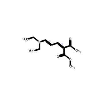 CCN(/C=C/C=C(/C(C)=O)C(=O)OC)CC